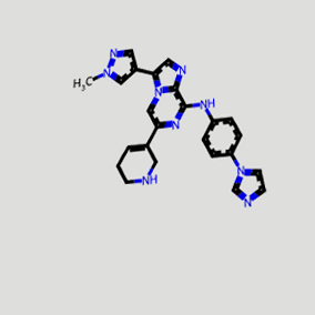 Cn1cc(-c2cnc3c(Nc4ccc(-n5ccnc5)cc4)nc(C4=CCCNC4)cn23)cn1